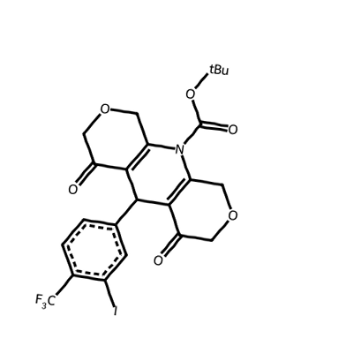 CC(C)(C)OC(=O)N1C2=C(C(=O)COC2)C(c2ccc(C(F)(F)F)c(I)c2)C2=C1COCC2=O